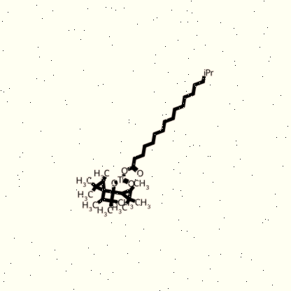 CC(C)CCCCCCCCCCCCCCC(=O)[O][Ti](=[O])[O]C1(C2C(C)C2(C)C)C(C)(C)C(C)C12C(C)C2(C)C